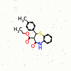 CCOC(=O)C1C(=O)Nc2ccccc2SC1c1ccc(C)cc1